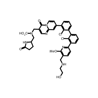 COc1nc(-c2cccc(-c3cccc(-c4ccn5c(=O)c(CN(CC6CCC(=O)N6)C(=O)O)cnc5c4)c3Cl)c2Cl)ccc1CNCCO